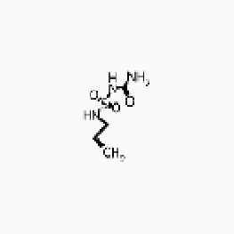 C=CCNS(=O)(=O)NC(N)=O